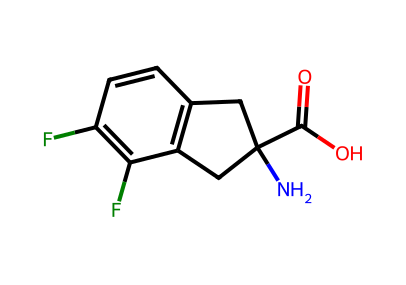 NC1(C(=O)O)Cc2ccc(F)c(F)c2C1